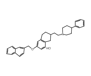 Cl.c1ccc(C2CCN(CCC3CCc4cc(OCc5ccc6ccccc6c5)ccc4C3)CC2)cc1